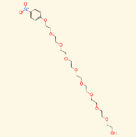 O=[N+]([O-])c1ccc(OCCOCCOCCOCCOCCOCCOCCOCCOCCO)cc1